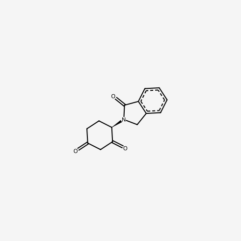 O=C1CC[C@@H](N2Cc3ccccc3C2=O)C(=O)C1